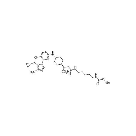 Cn1ncc(-c2nc(N[C@H]3CC[C@H](N(CC(=O)NCCCCCNC(=O)OC(C)(C)C)C(=O)O)CC3)ncc2Cl)c1CC1CC1